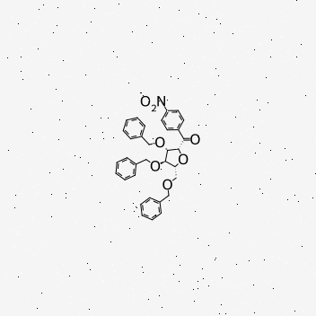 O=C(c1ccc([N+](=O)[O-])cc1)[C@@H]1O[C@H](COCc2ccccc2)[C@@H](OCc2ccccc2)[C@@H]1OCc1ccccc1